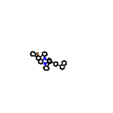 c1ccc(N(c2ccc(-c3ccc(-c4cccc5ccccc45)cc3)cc2)c2ccccc2-n2c3ccccc3c3ccccc32)c(-c2cccc3c2sc2ccccc23)c1